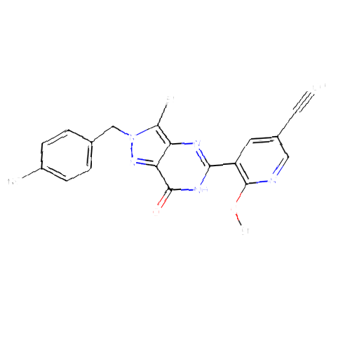 C#Cc1cnc(OCC)c(-c2nc3c(CC)n(Cc4ccc(C#N)cc4)nc3c(=O)[nH]2)c1